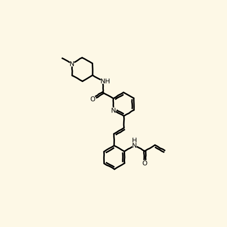 C=CC(=O)Nc1ccccc1/C=C/c1cccc(C(=O)NC2CCN(C)CC2)n1